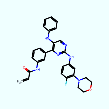 C=CC(=O)Nc1cccc(-c2nc(Nc3ccc(F)c(N4CCOCC4)c3)ncc2Nc2ccccc2)c1